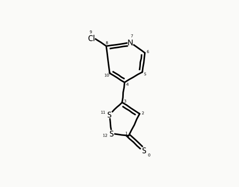 S=c1cc(-c2ccnc(Cl)c2)ss1